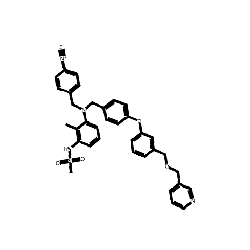 [C-]#[N+]c1ccc(CN(Cc2ccc(Oc3cccc(COCc4cccnc4)c3)cc2)c2cccc(NS(C)(=O)=O)c2C)cc1